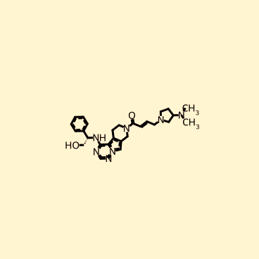 CN(C)C1CCN(C/C=C/C(=O)N2CCc3c(cn4ncnc(N[C@H](CO)c5ccccc5)c34)C2)C1